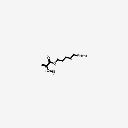 C=C(OCC)C(=O)OCCCCCCCCCCCC